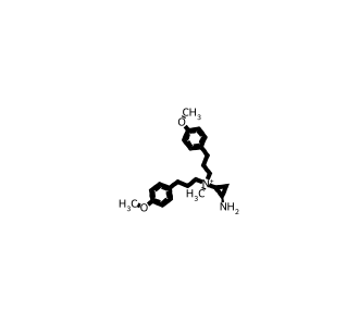 COc1ccc(CCC[N+](C)(CCCc2ccc(OC)cc2)C2C[C@H]2N)cc1